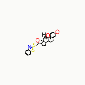 CC12C[C@@H]3O[C@]34C(CCC3=CC(=O)C=CC34C)C1CCC2C(=O)CSc1nc2ccccc2s1